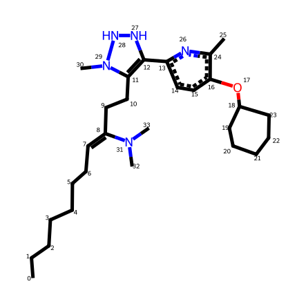 CCCCCCC/C=C(/CCC1=C(c2ccc(OC3CCCCC3)c(C)n2)NNN1C)N(C)C